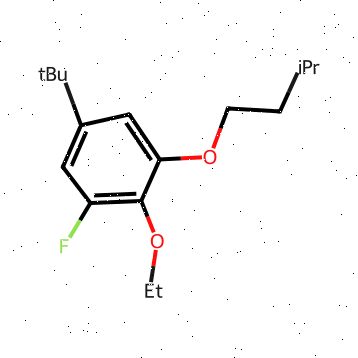 CCOc1c(F)cc(C(C)(C)C)cc1OCCC(C)C